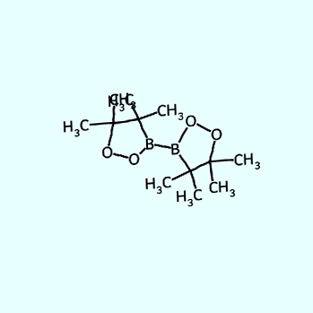 CC1(C)OOB(B2OOC(C)(C)C2(C)C)C1(C)C